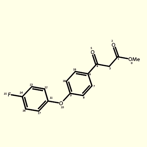 COC(=O)CC(=O)c1ccc(Oc2ccc(F)cc2)cc1